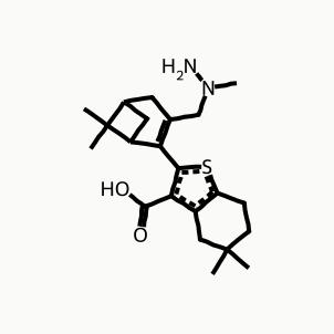 CN(N)CC1=C(c2sc3c(c2C(=O)O)CC(C)(C)CC3)C2CC(C1)C2(C)C